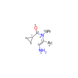 CC(=O)C(=CN)N(C(=O)C1CC1)C(C)C